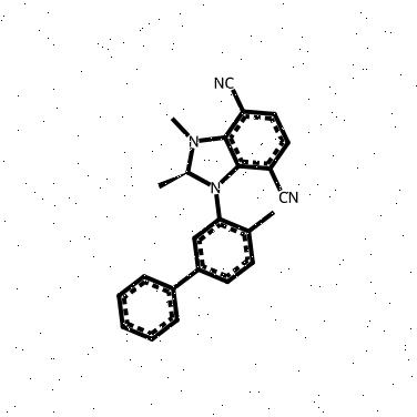 Cc1ccc(-c2ccccc2)cc1N1c2c(C#N)ccc(C#N)c2N(C)[C@@H]1C